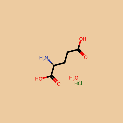 Cl.N[C@@H](CCC(=O)O)C(=O)O.O